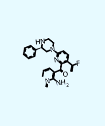 C=N/C(N)=C(\C=C/C)C(=O)c1nc(N2CCN[C@H](c3ccccc3)C2)ccc1C(=C)F